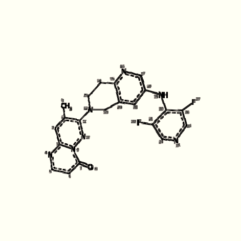 Cc1cc2nccc(=O)n2nc1N1CCc2ncc(Nc3c(F)cncc3F)cc2C1